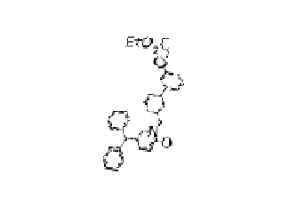 CCOC(=O)COc1cccc(-c2cccc(Cn3cc(C(c4ccccc4)c4ccccc4)ccc3=O)c2)c1